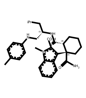 Cc1ccc(NC[C@H](CC(C)C)NC(=O)[C@@H]2CCCC[C@@]2(C(N)=O)c2c(C(=O)O)n(C)c3ccccc23)cc1